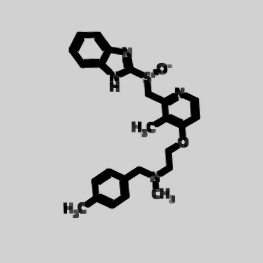 Cc1ccc(CN(C)CCOc2ccnc(C[S+]([O-])c3nc4ccccc4[nH]3)c2C)cc1